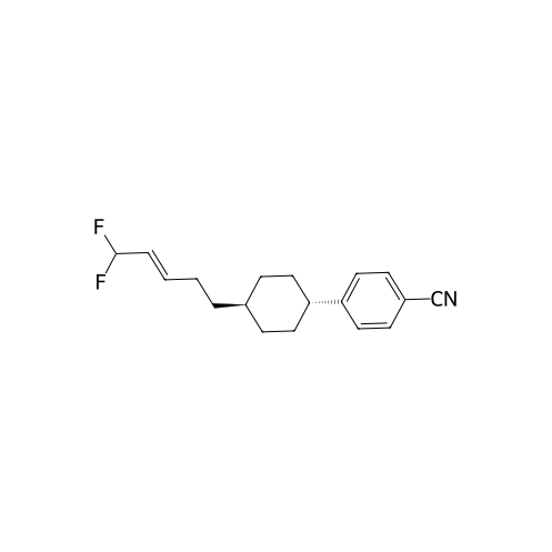 N#Cc1ccc([C@H]2CC[C@H](CCC=CC(F)F)CC2)cc1